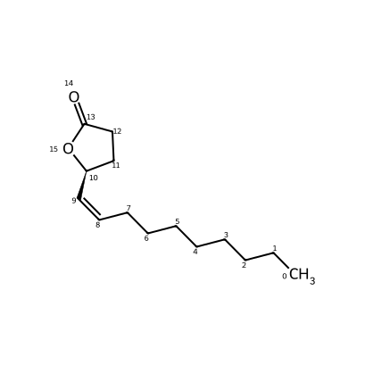 CCCCCCCC/C=C\[C@@H]1CCC(=O)O1